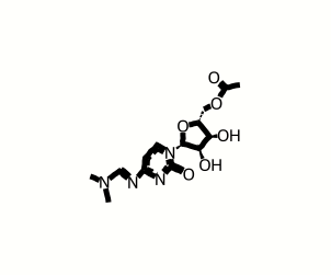 CC(=O)OC[C@H]1O[C@@H](n2ccc(/N=C/N(C)C)nc2=O)[C@H](O)[C@@H]1O